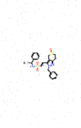 CC(NS(=O)(=O)/C=C/c1c2c(nn1Cc1ccccc1)CC[S+]([O-])C2)c1ccccc1